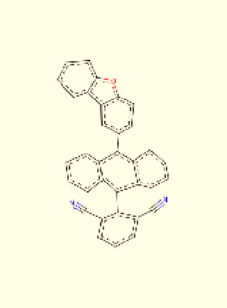 N#Cc1cccc(C#N)c1-c1c2ccccc2c(-c2ccc3oc4ccccc4c3c2)c2ccccc12